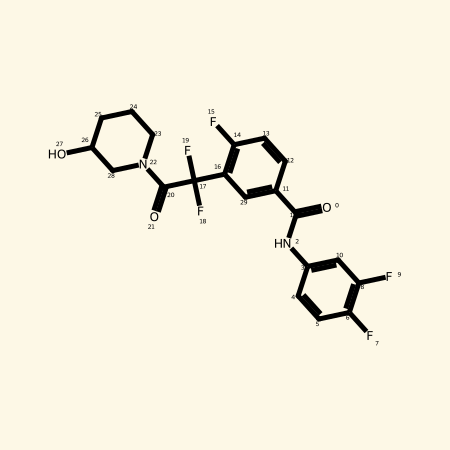 O=C(Nc1ccc(F)c(F)c1)c1ccc(F)c(C(F)(F)C(=O)N2CCCC(O)C2)c1